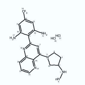 CCCNC1CCN(c2nc(-c3c(N)cc(C(F)(F)F)cc3N)nc3cccnc23)C1.Cl.Cl